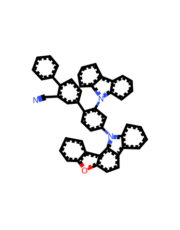 N#Cc1cc(-c2ccc(-n3c4ccccc4c4ccc5oc6ccccc6c5c43)cc2-n2c3ccccc3c3ccccc32)ccc1-c1ccccc1